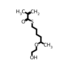 C=C(C)C(=O)SCCCCC(C)OCCO